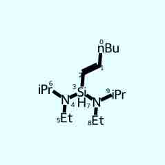 CCCCC=C[SiH](N(CC)C(C)C)N(CC)C(C)C